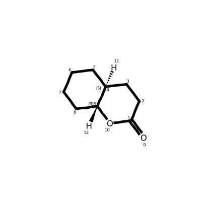 O=C1CC[C@@H]2CCCC[C@H]2O1